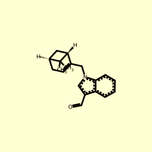 CC1(C)[C@H]2CC=C(Cn3cc(C=O)c4ccccc43)[C@H]1C2